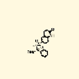 O=C[C@H](NS(=O)(=O)c1ccc2[nH]c(=O)ccc2c1)c1ccccc1